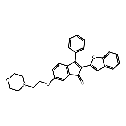 O=C1C(c2cc3ccccc3o2)=C(c2ccccc2)c2ccc(OCCN3CCOCC3)cc21